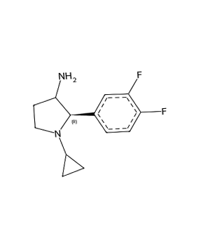 NC1CCN(C2CC2)[C@@H]1c1ccc(F)c(F)c1